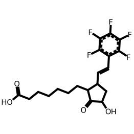 O=C(O)CCCCCCC1C(=O)C(O)CC1/C=C/c1c(F)c(F)c(F)c(F)c1F